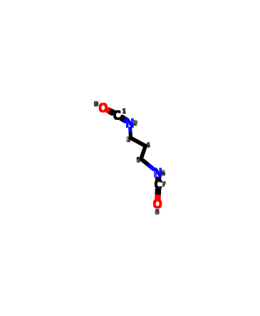 O=C=NCCCN=C=O